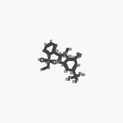 CCS(=O)(=O)c1ccccc1-c1nc2cc(C(F)(F)F)cc(Br)c2n1C